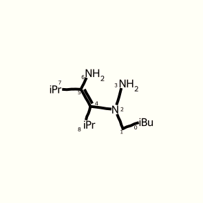 CCC(C)CN(N)/C(=C(\N)C(C)C)C(C)C